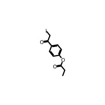 CCC(=O)Oc1ccc(C(=O)CI)cc1